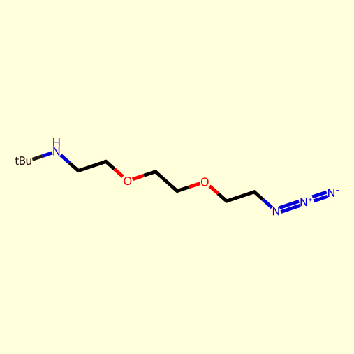 CC(C)(C)NCCOCCOCCN=[N+]=[N-]